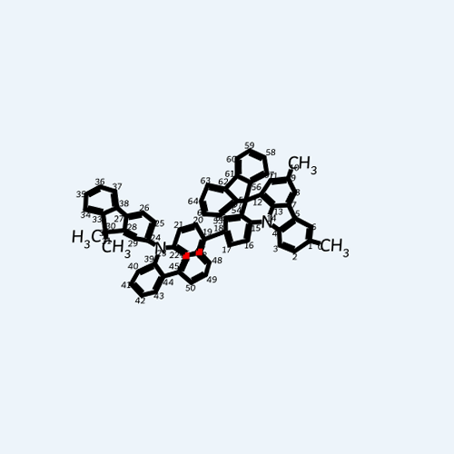 Cc1ccc2c(c1)c1cc(C)cc3c1n2-c1ccc(-c2ccc(N(c4ccc5c(c4)C(C)(C)c4ccccc4-5)c4ccccc4-c4ccccc4)cc2)cc1C31c2ccccc2-c2ccccc21